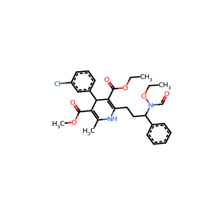 CCOC(=O)C1=C(CCC(c2ccccc2)N(C=O)OCC)NC(C)=C(C(=O)OC)C1c1cccc(Cl)c1